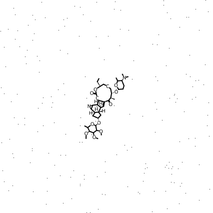 CC[C@H]1CCC[C@H](O[C@H]2CC[C@H](N(C)C)C(C)O2)[C@@H](C)C(=O)C2=C[C@H]3[C@@H]4C[C@H](O[C@@H]5OC(C)[C@H](OC)C(OC)C5OC)C[C@H]4C4=NC4[C@H]3[C@@H]2CC(=O)O1